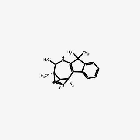 CC1NC2=C(c3ccccc3C2(C)C)[C@H]2N=C[C@]1(C)[C@@H]2C